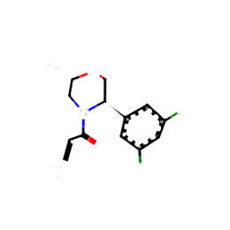 C=CC(=O)N1C[C@H](C)OC[C@H]1c1cc(Cl)cc(Br)c1